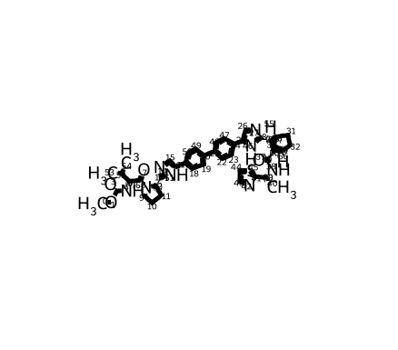 COC(=O)N[C@H](C(=O)N1CCC[C@H]1c1ncc(-c2ccc(-c3ccc(-c4cnc([C@@H]5[C@H]6CC[C@H](C6)[C@H]5C(=O)N[C@@H](C)c5nccs5)[nH]4)cc3)cc2)[nH]1)C(C)C